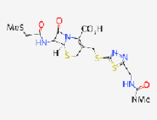 CNC(=O)NCc1nnc(SCC2=C(C(=O)O)N3C(=O)C(NC(=O)CSC)[C@@H]3SC2)s1